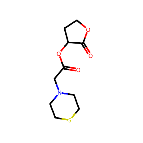 O=C(CN1CCSCC1)OC1CCOC1=O